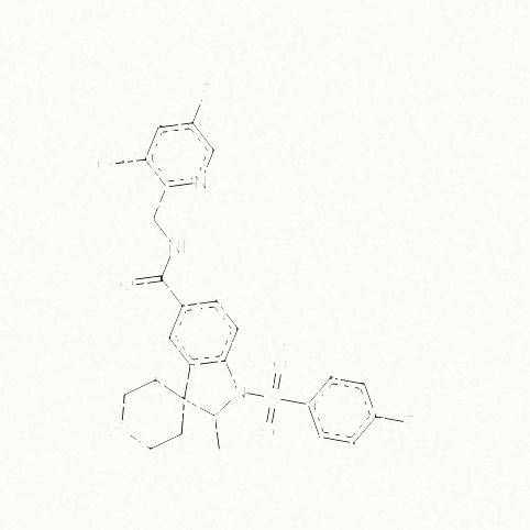 CC1N(S(=O)(=O)c2ccc(F)cc2)c2ccc(C(=O)NCc3ncc(F)cc3Cl)cc2C12CCOCC2